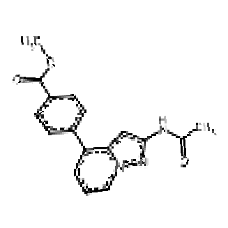 COC(=O)c1ccc(-c2cccn3nc(NC(C)=O)cc23)cc1